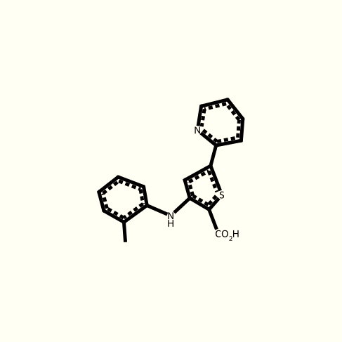 Cc1ccccc1Nc1cc(-c2ccccn2)sc1C(=O)O